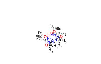 CCCCCC(NC(=O)OCC(CC)CCCC)N1C(=O)C(C)(C)C1N1CCN(C2N(C(CCCCC)NC(=O)OCC(CC)CCCC)C(=O)C2(C)C)CC1